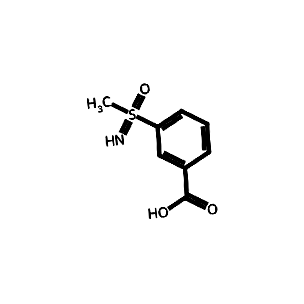 CS(=N)(=O)c1cccc(C(=O)O)c1